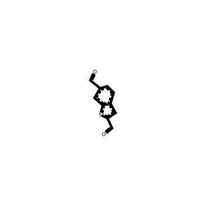 O=Cc1ccc2cc(C=O)sc2c1